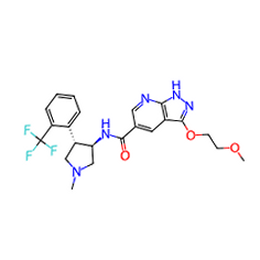 COCCOc1n[nH]c2ncc(C(=O)N[C@H]3CN(C)C[C@@H]3c3ccccc3C(F)(F)F)cc12